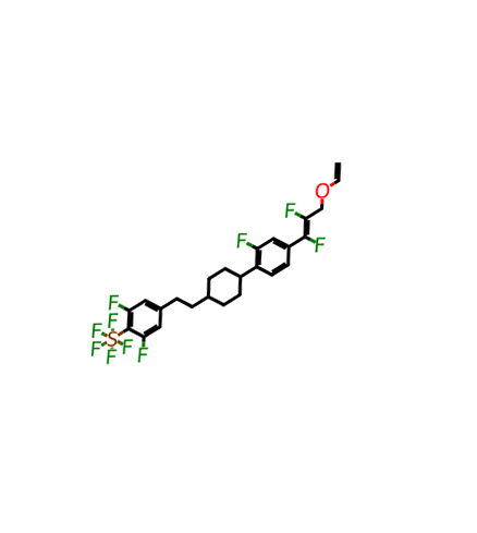 C=COC/C(F)=C(\F)c1ccc(C2CCC(CCc3cc(F)c(S(F)(F)(F)(F)F)c(F)c3)CC2)c(F)c1